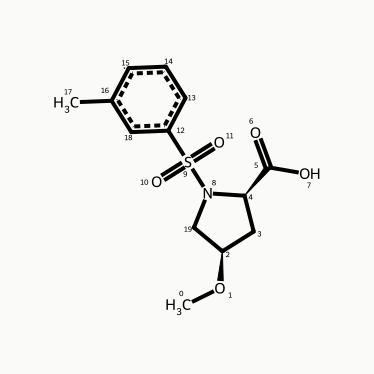 CO[C@@H]1C[C@H](C(=O)O)N(S(=O)(=O)c2cc[c]c(C)c2)C1